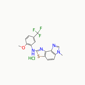 COc1ccc(C(F)(F)F)cc1Nc1nc2c(ccc3c2ncn3C)s1.Cl